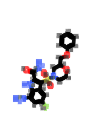 NC(=O)c1[nH]c2c(N)cc(F)cc2c1S(=O)(=O)N1CCOC(COc2ccccc2)C1